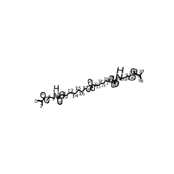 C=C(C)C(=O)OCCNC(=O)OCCCCCCOC(=O)OCCCCCCOC(=O)NCCOC(=O)C(=C)C